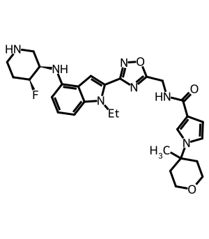 CCn1c(-c2noc(CNC(=O)c3ccn(C4(C)CCOCC4)c3)n2)cc2c(N[C@@H]3CNCC[C@@H]3F)cccc21